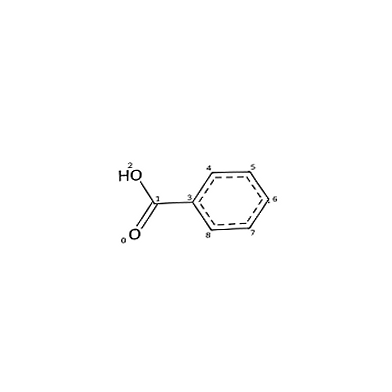 O=C(O)c1cc[c]cc1